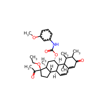 CCO[C@]1(C(C)=O)CC[C@H]2[C@@H]3C=CC4=CC(=O)C(C)C(C)[C@@]4(C)[C@@H]3[C@@H](OC(=O)Nc3cccc(OC)c3)C[C@@]21C